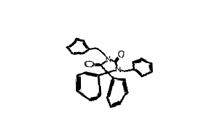 O=C1N(Cc2ccccc2)C(=O)C(c2ccccc2)(c2ccccc2)N1Cc1ccccc1